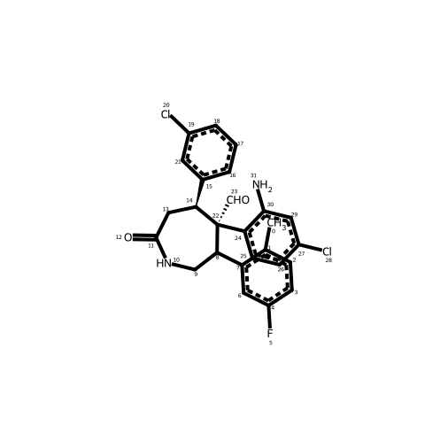 Cc1ccc(F)cc1C1CNC(=O)C[C@@H](c2cccc(Cl)c2)[C@@]1(C=O)c1ccc(Cl)cc1N